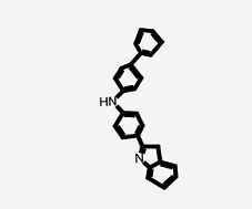 c1ccc(-c2ccc(Nc3ccc(C4=Nc5ccccc5C4)cc3)cc2)cc1